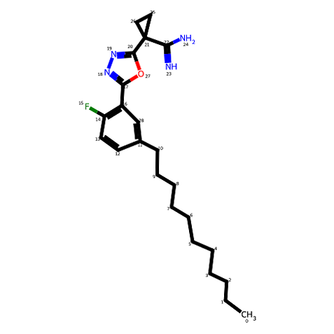 CCCCCCCCCCCc1ccc(F)c(-c2nnc(C3(C(=N)N)CC3)o2)c1